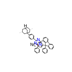 C[C@@H]1C[C@@H]2C[C@H](C)CC(c3ccc(-c4nc(-c5ccccc5)nc(-c5cccc6c5C(c5ccccc5)(c5ccc(C#N)cc5)c5ccccc5-6)n4)cc3)(C1)C2